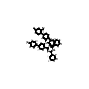 Cc1ccc(-c2ccc3c4ccccc4n(-c4cc(-c5ccc(F)cc5)ccc4-c4nc(-c5ccccc5)nc(-c5ccccc5)n4)c3c2)c(C)c1